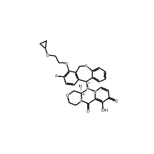 O=C1c2c(O)c(=O)ccn2N([C@@H]2c3ccccc3SCc3c2ccc(F)c3OCCOC2CC2)[C@@H]2COCCN12